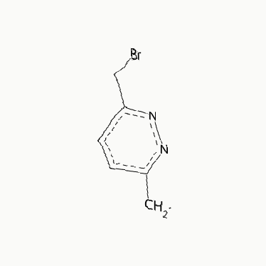 [CH2]c1ccc(CBr)nn1